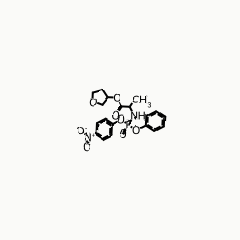 CC(NP(=O)(Oc1ccccc1)Oc1ccc([N+](=O)[O-])cc1)C(=O)OC1CCOC1